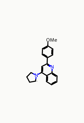 COc1ccc(-c2cc(N3[CH]CCC3)c3ccccc3n2)cc1